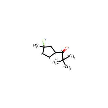 CC1(F)CCC(C(=O)C(C)(C)C)C1